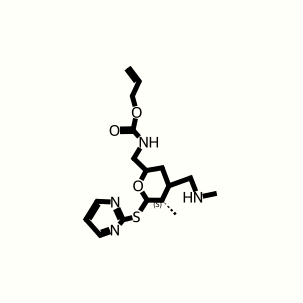 C=CCOC(=O)NCC1CC(CNC)[C@H](C)C(Sc2ncccn2)O1